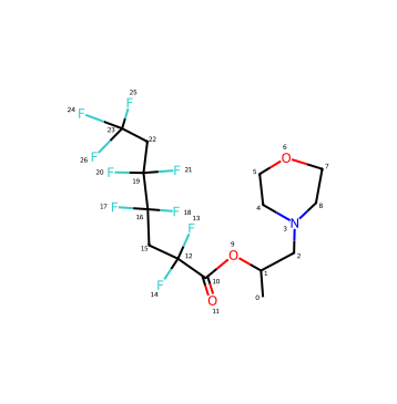 CC(CN1CCOCC1)OC(=O)C(F)(F)CC(F)(F)C(F)(F)CC(F)(F)F